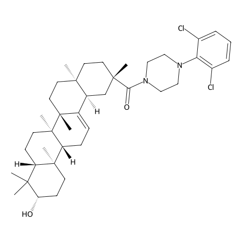 CC1(C)[C@@H](O)CC[C@]2(C)[C@H]3CC=C4[C@@H]5C[C@@](C)(C(=O)N6CCN(c7c(Cl)cccc7Cl)CC6)CC[C@]5(C)CC[C@@]4(C)[C@]3(C)CC[C@@H]12